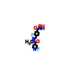 CN(/N=C/c1ccc(C(=O)NO)cc1F)C(=O)c1ccnc(F)c1